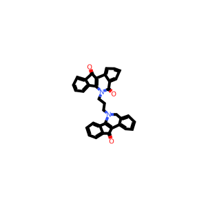 O=C1C2=C(c3ccccc31)N(CCCn1c3c(c4ccccc4c1=O)C(=O)c1ccccc1-3)Cc1ccccc12